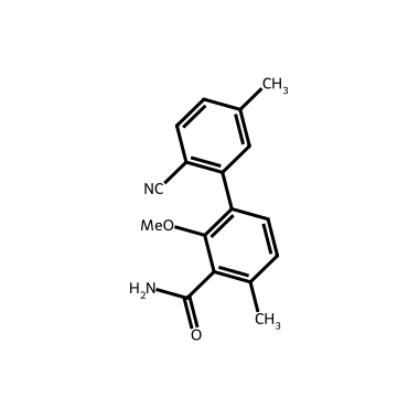 COc1c(-c2cc(C)ccc2C#N)ccc(C)c1C(N)=O